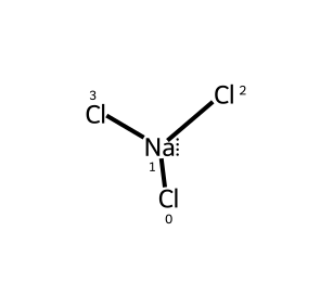 [Cl][Na]([Cl])[Cl]